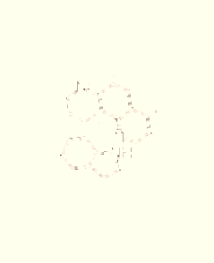 c1ccc2[nH]ccc2c1.c1cnc2c(c1)ccc1ncccc12